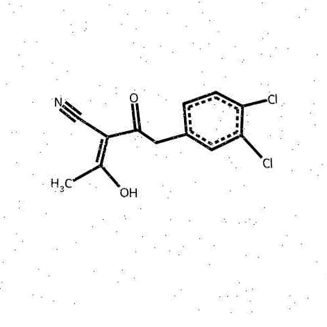 CC(O)=C(C#N)C(=O)Cc1ccc(Cl)c(Cl)c1